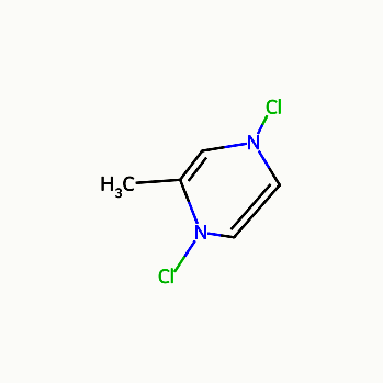 CC1=CN(Cl)C=CN1Cl